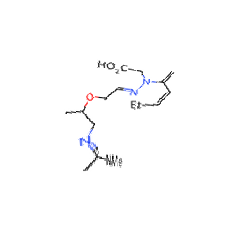 C=C(/C=C\CC)N(CC(=O)O)/N=C/COC(C)C/N=C(/C)NC